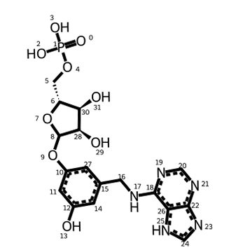 O=P(O)(O)OC[C@H]1OC(Oc2cc(O)cc(CNc3ncnc4nc[nH]c34)c2)[C@H](O)[C@@H]1O